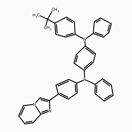 CC(C)(C)c1ccc(N(c2ccccc2)c2ccc(N(c3ccccc3)c3ccc(-c4cn5ccccc5n4)cc3)cc2)cc1